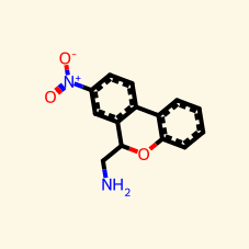 NCC1Oc2ccccc2-c2ccc([N+](=O)[O-])cc21